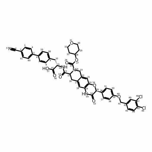 N#Cc1ccc(-c2ccc(C[C@H](NC(=O)C3Cc4cc5c(cc4CN3C(=O)OC3CCOCC3)O[C@@H](c3ccc(OCc4ccc(Cl)c(Cl)c4)cc3)C(=O)N5)C(=O)O)cc2)cc1